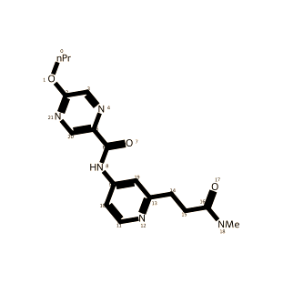 CCCOc1cnc(C(=O)Nc2ccnc(CCC(=O)NC)c2)cn1